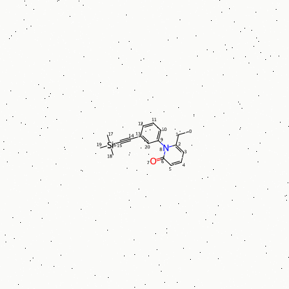 CCc1cccc(=O)n1-c1cccc(C#C[Si](C)(C)C)c1